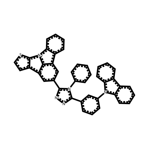 c1ccc(-n2c(-c3cccc(-n4c5ccccc5c5ccccc54)c3)nnc2-c2cc3c4ccccc4n4c5sccc5c(c2)c34)cc1